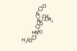 CCC(CC)C(=O)N(Cc1ccc(C(=O)NCc2ccc(OC)cc2)cc1)C1CCN(Cc2ccc(Cl)cc2)CC1